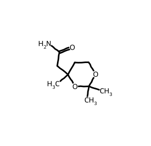 CC1(CC(N)=O)CCOC(C)(C)O1